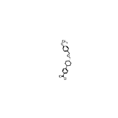 COc1ccc(COC[C@H]2CC[C@H](c3ccc(C(=O)Cl)cc3)CC2)cc1